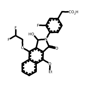 CCOc1c2c(c(OCC(F)F)c3ccccc13)C(O)N(c1ccc(CC(=O)O)cc1F)C2=O